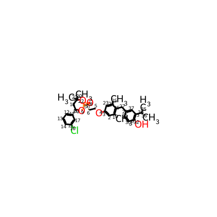 Cc1cc(OCC[P@]2(=O)O[C@H](c3cccc(Cl)c3)CC(C)(C)O2)cc(C)c1Cc1ccc(O)c(C(C)C)c1